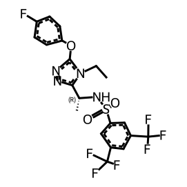 CCn1c(Oc2ccc(F)cc2)nnc1[C@@H](C)NS(=O)(=O)c1cc(C(F)(F)F)cc(C(F)(F)F)c1